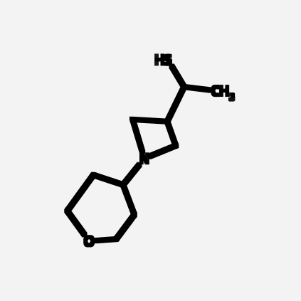 CC(S)C1CN(C2CCOCC2)C1